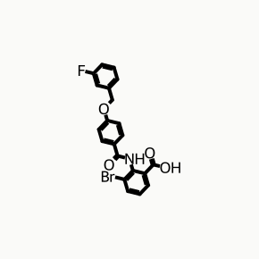 O=C(Nc1c(Br)cccc1C(=O)O)c1ccc(OCc2cccc(F)c2)cc1